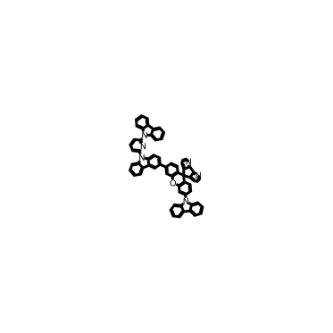 c1cc(-n2c3ccccc3c3ccccc32)nc(-n2c3ccccc3c3cc(-c4ccc5c(c4)Oc4cc(-n6c7ccccc7c7ccccc76)ccc4C54c5cccnc5-c5ncccc54)ccc32)c1